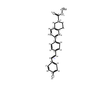 CC(C)(C)OC(=O)N1CCc2nc(-c3ccc(/C=C/c4ccc(Cl)cc4)cc3)ncc2C1